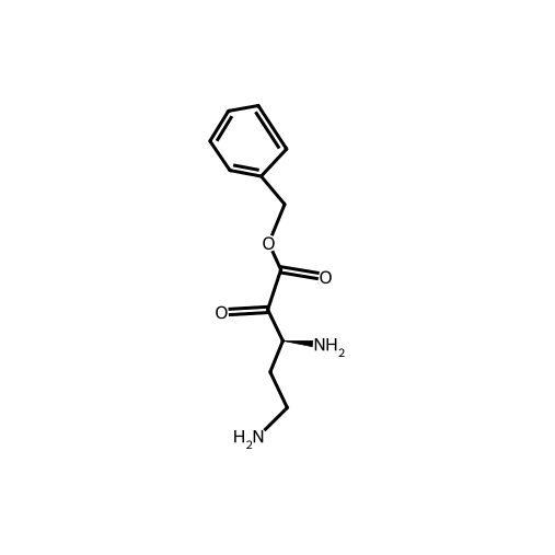 NCC[C@H](N)C(=O)C(=O)OCc1ccccc1